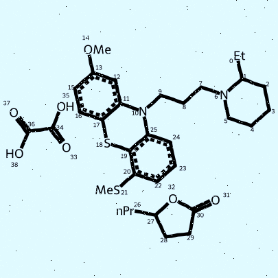 CCC1CCCCN1CCCN1c2cc(OC)ccc2Sc2c(SC)cccc21.CCCC1CCC(=O)O1.O=C(O)C(=O)O